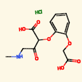 CNCC(=O)C(Oc1ccccc1OCC(=O)O)C(=O)O.Cl